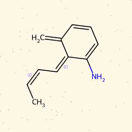 C=c1cccc(N)/c1=C/C=C\C